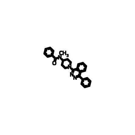 CN(C(=O)c1ccccc1)C1CCN(c2nnc(-c3ccccc3)c3ccccc23)CC1